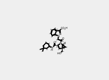 CC1(C)CCCC(NC(=O)[C@@H]2C[C@@]3(CO)C[C@H]3N2C(=O)Cn2nc(C(=O)O)c3ccccc32)C1